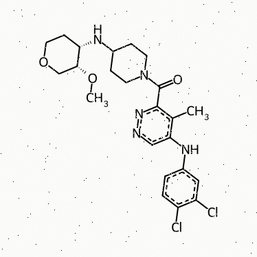 CO[C@@H]1COCC[C@@H]1NC1CCN(C(=O)c2nncc(Nc3ccc(Cl)c(Cl)c3)c2C)CC1